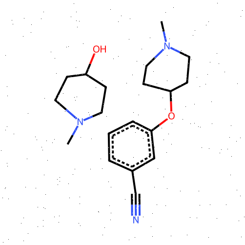 CN1CCC(O)CC1.CN1CCC(Oc2cccc(C#N)c2)CC1